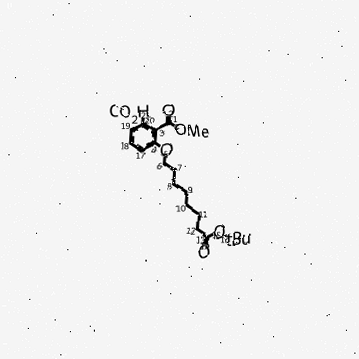 COC(=O)c1c(OCCCCCCCC(=O)OC(C)(C)C)cccc1C(=O)O